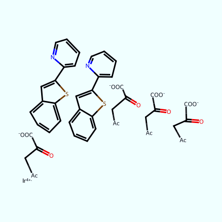 CC(=O)CC(=O)C(=O)[O-].CC(=O)CC(=O)C(=O)[O-].CC(=O)CC(=O)C(=O)[O-].CC(=O)CC(=O)C(=O)[O-].[Ir+4].c1ccc(-c2cc3ccccc3s2)nc1.c1ccc(-c2cc3ccccc3s2)nc1